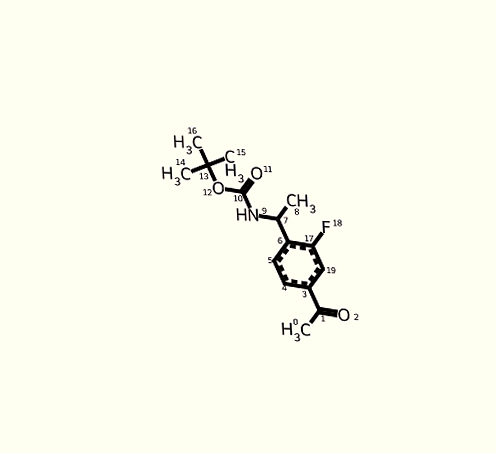 CC(=O)c1ccc(C(C)NC(=O)OC(C)(C)C)c(F)c1